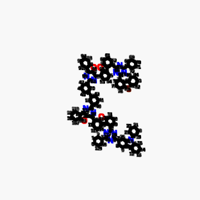 c1ccc(-c2nc(-c3ccc4c5ccccc5n(-c5ccccc5)c4c3)nc(-c3cccc4oc5c(-c6nc(-c7cccc(-c8cccc(-c9nc(-c%10cccc%11c%10oc%10cccc(-c%12nc(-c%13ccccc%13)nc(-c%13cccc%14sc%15ccccc%15c%13%14)n%12)c%10%11)c%10oc%11ccccc%11c%10n9)c8)c7)nc7c6oc6ccccc67)cccc5c34)n2)cc1